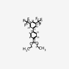 CCO[SiH](OCC)c1ccc(-c2cc(C(F)(F)F)cc(C(F)(F)F)c2)cc1